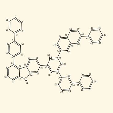 c1ccc(-c2ccc(-c3cccc4oc5cc(-c6nc(-c7cccc(-c8ccccc8)c7)nc(-c7ccc8ccc(-c9ccccc9)cc8c7)n6)ccc5c34)cc2)cc1